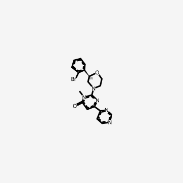 Cn1c(N2CCO[C@H](c3ccccc3Br)C2)nc(-c2ccncn2)cc1=O